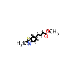 COC(=O)CCCc1ccc2nc(C)sc2c1